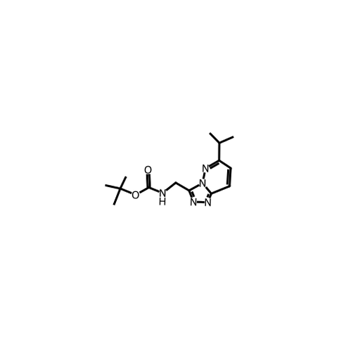 CC(C)c1ccc2nnc(CNC(=O)OC(C)(C)C)n2n1